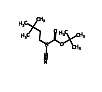 CC(C)(C)CCN(C#N)C(=O)OC(C)(C)C